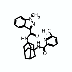 Cc1cccc(C(=O)NC23CC4CC(C2)CC(NC(=O)c2nn(C)c5ccccc25)(C4)C3)n1